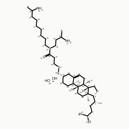 CC[C@H](CC[C@@H](C)[C@H]1CC[C@H]2[C@@H]3CC=C4C[C@@H](SSCCC(=O)N(CCCCCCCC(C)N)CCC(C)N)CC[C@]4(C)[C@H]3CC[C@]12C)C(C)C.Cl.Cl